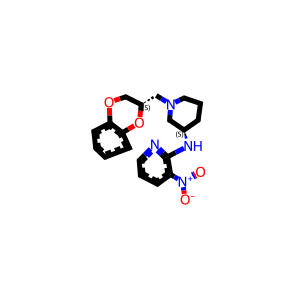 O=[N+]([O-])c1cccnc1N[C@H]1CCCN(C[C@H]2COc3ccccc3O2)C1